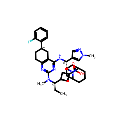 CC[C@@H](N(C)c1nc2c(c(N[C@@H](CN3C4CCCC3CCC4)c3cnn(C)c3)n1)C[C@H](c1ccccc1F)CC2)C12CC(C(=O)O)(C1)C2